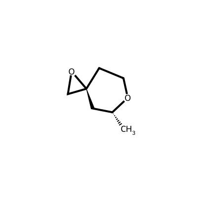 C[C@@H]1C[C@@]2(CCO1)CO2